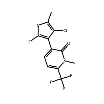 Cc1sc(F)c(-c2ccc(C(F)(F)F)n(C)c2=O)c1Cl